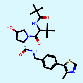 Cc1ncsc1-c1ccc(CNC(=O)[C@@H]2CC(O)CN2C(=O)C(NC(=O)C(C)(C)C)C(C)(C)C)cc1